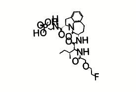 CC[C@H](C)[C@H](NC(=O)COCCF)C(=O)N[C@H]1CCc2cccc3c2N(C1=O)[C@H](C(=O)NCP(=O)(O)O)C3